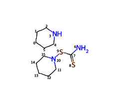 C1CCNCC1.NC(=S)SN1CCCCC1